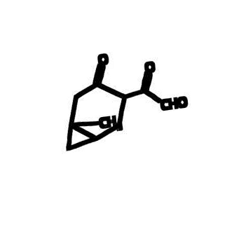 CC12CC(=O)C(C(=O)C=O)CC1C2